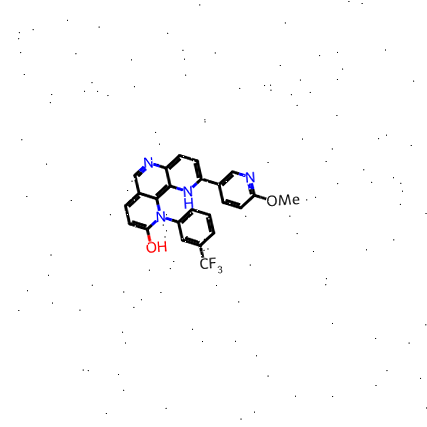 COc1ccc(C2=CC=c3ncc4c(c3N2)N(c2cccc(C(F)(F)F)c2)C(O)=CC=4)cn1